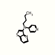 CCCCN(c1ccncc1)c1csc2cccnc12